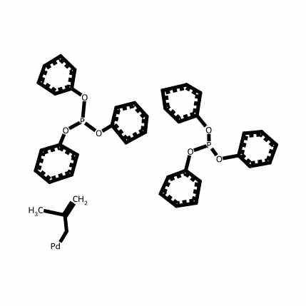 C=C(C)[CH2][Pd].c1ccc(OP(Oc2ccccc2)Oc2ccccc2)cc1.c1ccc(OP(Oc2ccccc2)Oc2ccccc2)cc1